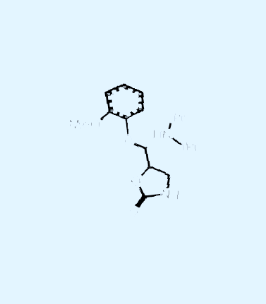 CC(C)NC(C)C.COc1ccccc1OCC1CNC(=O)O1